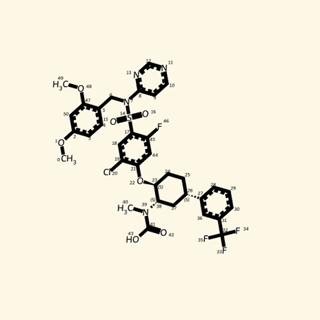 COc1ccc(CN(c2ccncn2)S(=O)(=O)c2cc(Cl)c(O[C@H]3CC[C@H](c4cccc(C(F)(F)F)c4)C[C@@H]3N(C)C(=O)O)cc2F)c(OC)c1